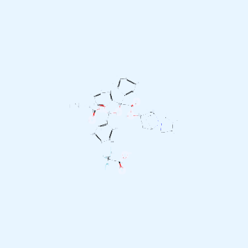 CCCCCCCCCC(=O)OC(OC(C(=O)OC1CC2CCC(C1)[N+]21CCCC1)(c1ccccc1)c1ccccc1)c1ccccc1.O=C([O-])C(F)(F)F